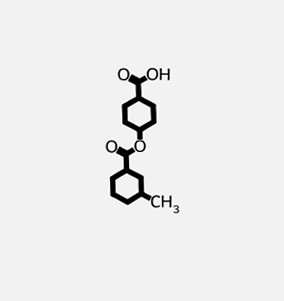 CC1CCCC(C(=O)OC2CCC(C(=O)O)CC2)C1